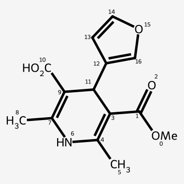 COC(=O)C1=C(C)NC(C)=C(C(=O)O)C1c1ccoc1